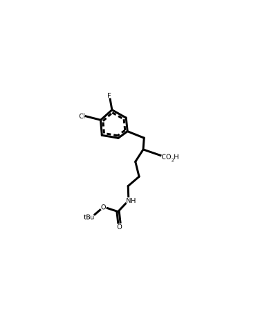 CC(C)(C)OC(=O)NCCCC(Cc1ccc(Cl)c(F)c1)C(=O)O